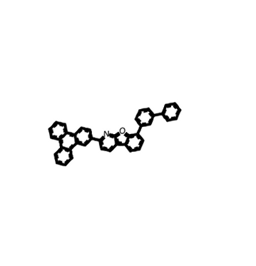 c1ccc(-c2cccc(-c3cccc4c3oc3nc(-c5ccc6c7ccccc7c7ccccc7c6c5)ccc34)c2)cc1